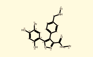 CCNCc1ccc(-c2c(C(=O)NC(C)C)noc2-c2cc(C(C)C)c(O)cc2O)cc1